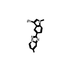 Cc1ccn2nc(-c3ccc4c(c3)c(C(C)C)cn4C)nc2c1